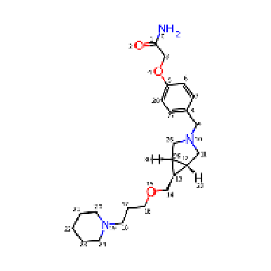 NC(=O)COc1ccc(CN2C[C@@H]3[C@@H](COCCCN4CCCCC4)[C@@H]3C2)cc1